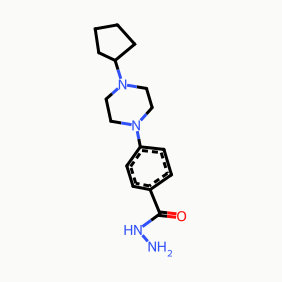 NNC(=O)c1ccc(N2CCN(C3CCCC3)CC2)cc1